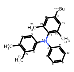 Cc1ccc(N(c2ccccc2)c2c(C)cc(C(C)(C)C)cc2C)cc1C